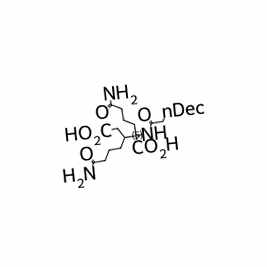 CCCCCCCCCCCC(=O)N[C@](CCCC(N)=O)(C(=O)O)C(CCCC(N)=O)CC(=O)O